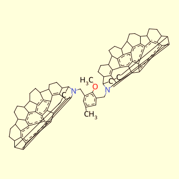 COc1c(CN2C3=C4c5c6c7c8c9c%10c%11c%12c%13c%14c%15c%11c8c5C%15C3C3=C%14C5CCC3C2CCC4C6CCC7C9CCC%10C%12CCC%135)cc(C)cc1CN1C2=C3c4c5c6c7c8c9c%10c%11c%12c%13c%14c%10c7c4C%14C2C2=C%13C4CCC2C1CCC3C5CCC6C8CCC9C%11CCC%124